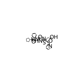 O=C(O)Cc1nc(NC(=O)Nc2ccccc2C(=O)C2CCCC2)sc1Sc1ccccn1